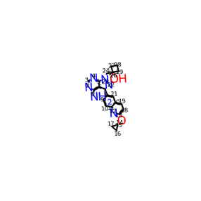 Nc1ncnc2c1c(-c1ccc3nc(OC4CC4)ccc3c1)nn2CC1(O)CCC1